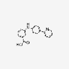 O=C(O)c1cccc(Nc2ccc(-c3ccccn3)cc2)c1